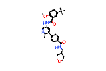 COc1ccc(C(C)(C)C)cc1C(=O)Nc1cnc(C)c(-c2ccc(C(=O)NCC3CCOCC3)cc2)c1